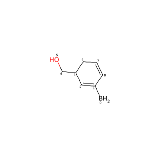 BC1=CC(CO)CC=C1